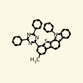 Cc1cc(-c2nc(-c3ccccc3)nc(-c3ccccc3)n2)c2sc3c(ccc4c5ccccc5n(-c5ccccc5)c43)c2c1